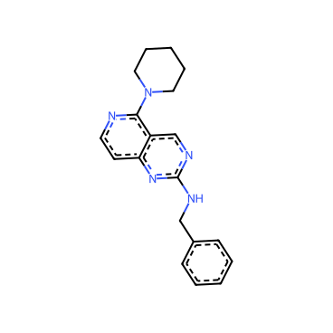 c1ccc(CNc2ncc3c(N4CCCCC4)nccc3n2)cc1